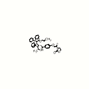 C=CCOC(=O)C(N1C(=O)[C@H]([C@@H](C)O)[C@H]1CC(=O)c1ccc(OCC(=O)N2CCOC2=O)cc1)=P(c1ccccc1)(c1ccccc1)c1ccccc1